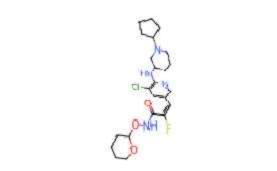 O=C(NOC1CCCCO1)/C(F)=C\c1cnc(N[C@@H]2CCCN(C3CCCC3)C2)c(Cl)c1